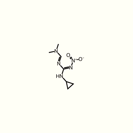 CN(C)C=NC(=N[N+](=O)[O-])NC1CC1